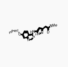 CCCCCOc1ccc2c(Nc3cc(CC(=O)NC)n[nH]3)ncnc2c1